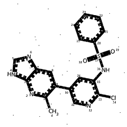 Cc1nc2[nH]cnc2cc1-c1cnc(Cl)c(NS(=O)(=O)c2ccccc2)c1